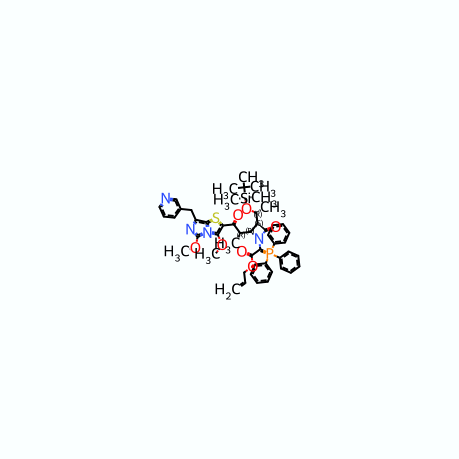 C=CCOC(=O)C(N1C(=O)[C@H]([C@@H](C)O[Si](C)(C)C(C)(C)C)[C@H]1[C@@H](C)C(=O)c1sc2c(Cc3cccnc3)nc(OC)n2c1OC)=P(c1ccccc1)(c1ccccc1)c1ccccc1